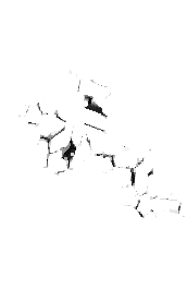 c1ccc(-c2ccc(N(c3ccc(-c4cc5ccc6ccccc6c5c5ccccc45)cc3)c3cccc4c3oc3cc5ccccc5cc34)cc2)cc1